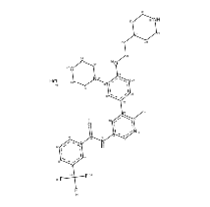 Cc1ncc(NC(=O)c2cccc(C(F)(F)F)c2)cc1-c1cnc(OCCC2CCNCC2)c(N2CCOCC2)c1.Cl